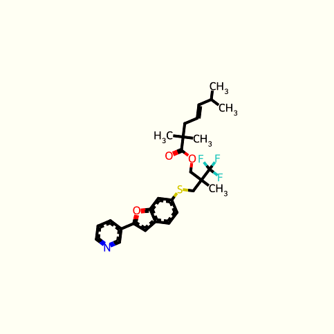 CC(C)C=CCC(C)(C)C(=O)OCC(C)(CSc1ccc2cc(-c3cccnc3)oc2c1)C(F)(F)F